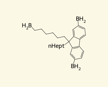 BCCCCCCC1(CCCCCCC)c2cc(B)ccc2-c2ccc(B)cc21